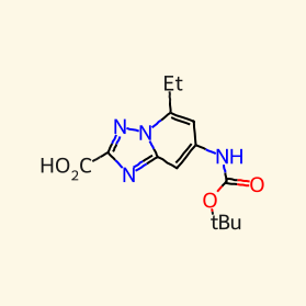 CCc1cc(NC(=O)OC(C)(C)C)cc2nc(C(=O)O)nn12